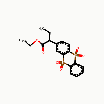 CCOC(=O)C(CC)c1ccc2c(c1)S(=O)(=O)c1ccccc1S2(=O)=O